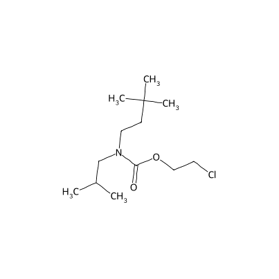 CC(C)CN(CCC(C)(C)C)C(=O)OCCCl